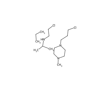 CC(C)NCCCl.CCC.CN1CCN(CCCCl)CC1